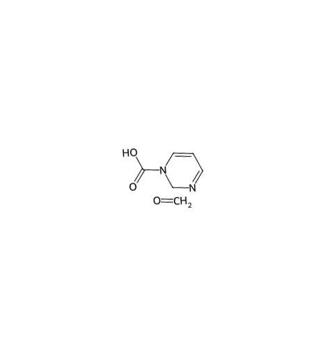 C=O.O=C(O)N1C=CC=NC1